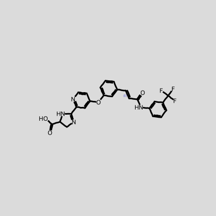 O=C(/C=C/c1cccc(Oc2ccnc(C3=NCC(C(=O)O)N3)c2)c1)Nc1cccc(C(F)(F)F)c1